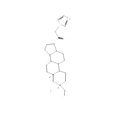 C[C@]12CCC3C(CC[C@H]4C[C@@](O)(CO)CC[C@]34C)C1CC[C@@H]2C(=O)Cn1ccnc1